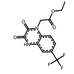 CCOC(=O)Cn1c(=O)c(=O)[nH]c2cc(C(F)(F)F)ccc21